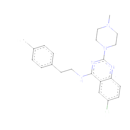 CN1CCN(c2nc(NCCc3ccc([N+](=O)[O-])cc3)c3cc(Cl)ccc3n2)CC1